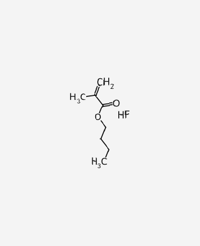 C=C(C)C(=O)OCCCC.F